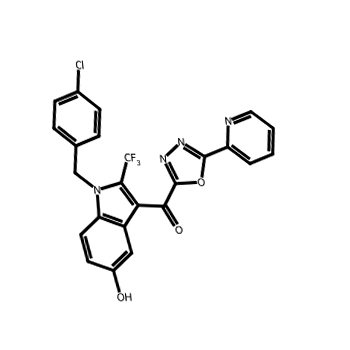 O=C(c1nnc(-c2ccccn2)o1)c1c(C(F)(F)F)n(Cc2ccc(Cl)cc2)c2ccc(O)cc12